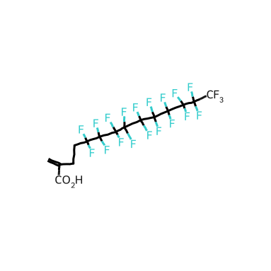 C=C(CCC(F)(F)C(F)(F)C(F)(F)C(F)(F)C(F)(F)C(F)(F)C(F)(F)C(F)(F)C(F)(F)C(F)(F)F)C(=O)O